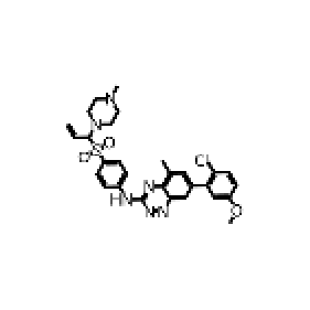 C=CC(N1CCN(C)CC1)S(=O)(=O)c1ccc(Nc2nnc3cc(-c4cc(OC)ccc4Cl)cc(C)c3n2)cc1